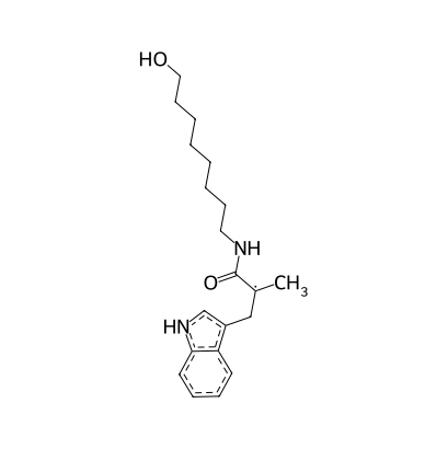 C[C](Cc1c[nH]c2ccccc12)C(=O)NCCCCCCCCO